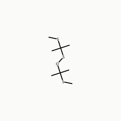 CSC(C)(C)OSC(C)(C)SC